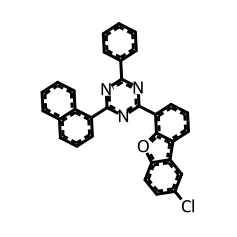 Clc1ccc2oc3c(-c4nc(-c5ccccc5)nc(-c5cccc6ccccc56)n4)cccc3c2c1